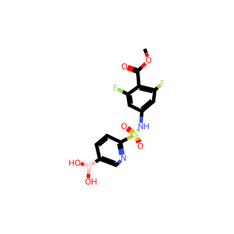 COC(=O)c1c(F)cc(NS(=O)(=O)c2ccc(B(O)O)cn2)cc1F